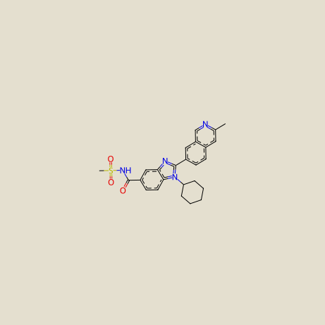 Cc1cc2ccc(-c3nc4cc(C(=O)NS(C)(=O)=O)ccc4n3C3CCCCC3)cc2cn1